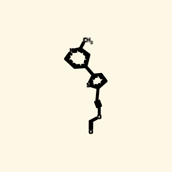 Cc1cc(-c2ccc(C#COC=O)s2)ccn1